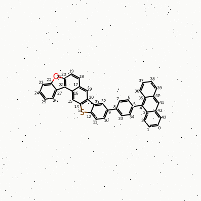 c1ccc2c(-c3ccc(-c4ccc5sc6cc7c(ccc8oc9ccccc9c87)cc6c5c4)cc3)c3ccccc3cc2c1